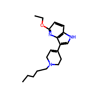 CCCCCN1CC=C(c2c[nH]c3ccc(OCC)nc23)CC1